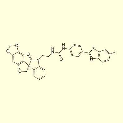 Cc1ccc2nc(-c3ccc(NC(=O)NCCN4C(=O)C5(COc6cc7c(cc65)OCO7)c5ccccc54)cc3)sc2c1